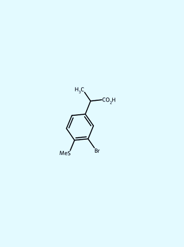 CSc1ccc(C(C)C(=O)O)cc1Br